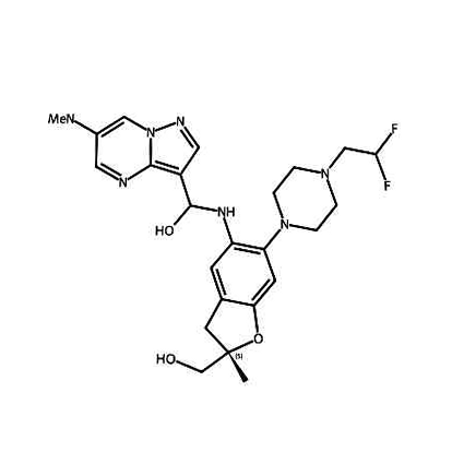 CNc1cnc2c(C(O)Nc3cc4c(cc3N3CCN(CC(F)F)CC3)O[C@](C)(CO)C4)cnn2c1